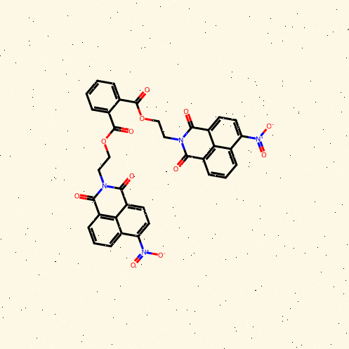 O=C(OCCN1C(=O)c2cccc3c([N+](=O)[O-])ccc(c23)C1=O)c1ccccc1C(=O)OCCN1C(=O)c2cccc3c([N+](=O)[O-])ccc(c23)C1=O